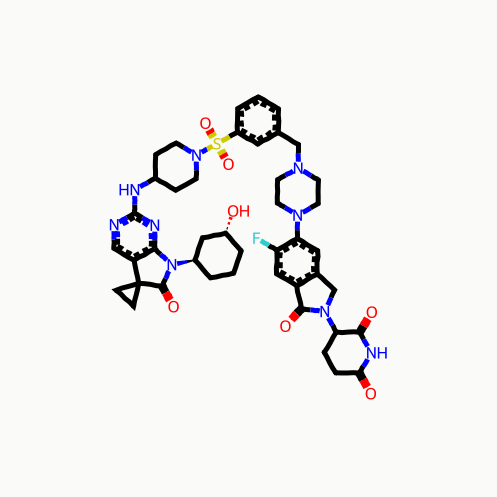 O=C1CCC(N2Cc3cc(N4CCN(Cc5cccc(S(=O)(=O)N6CCC(Nc7ncc8c(n7)N([C@@H]7CCC[C@@H](O)C7)C(=O)C87CC7)CC6)c5)CC4)c(F)cc3C2=O)C(=O)N1